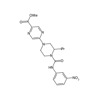 COC(=O)c1cnc(N2CCN(C(=O)Nc3cccc([N+](=O)[O-])c3)C(C(C)C)C2)cn1